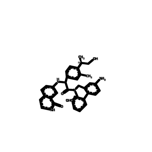 Cc1cc(C(Nc2ccc3cc[nH]c(=O)c3c2)C(=O)N(CC=O)Cc2cc(N)ccc2-c2ccccc2)ccc1[C@@H](C)CO